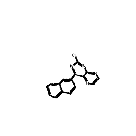 Clc1nc(-c2ccc3ccccc3c2)c2nccnc2n1